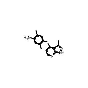 Cc1cc(Oc2ccnc3[nH]nc(C)c23)c(C)cc1N